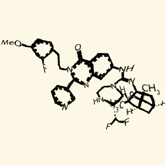 COc1ccc(CCn2c(-c3cccnc3)nc3cc(N/C(=N/C4C[C@H]5C[C@@H]([C@@H]4C)C5(C)C)N4CCN[C@@H](C(F)F)C4)ccc3c2=O)c(F)c1